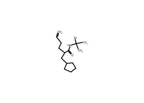 C=CCCC(CC1CCCC1)C(=O)NC(C)(C)CC